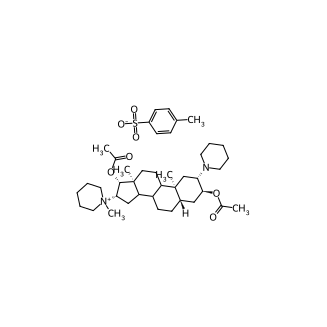 CC(=O)O[C@H]1C[C@@H]2CCC3C4C[C@H]([N+]5(C)CCCCC5)[C@H](OC(C)=O)[C@@]4(C)CCC3[C@@]2(C)C[C@@H]1N1CCCCC1.Cc1ccc(S(=O)(=O)[O-])cc1